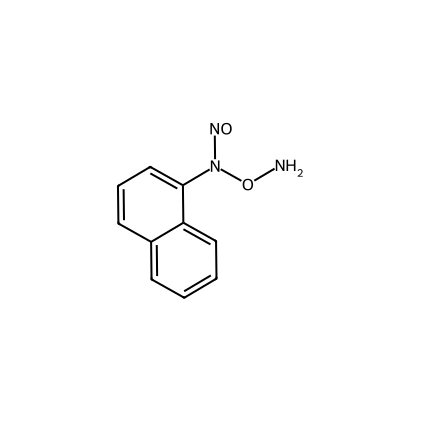 NON(N=O)c1cccc2ccccc12